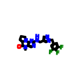 CN1C(=O)C2CCCN2c2nc(NCc3cnn(Cc4cc(F)c(F)c(F)c4)c3)ncc21